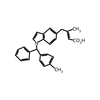 CC(=CC(=O)O)Cc1ccc2c(ccn2C(c2ccccc2)c2ccc(C)cc2)c1